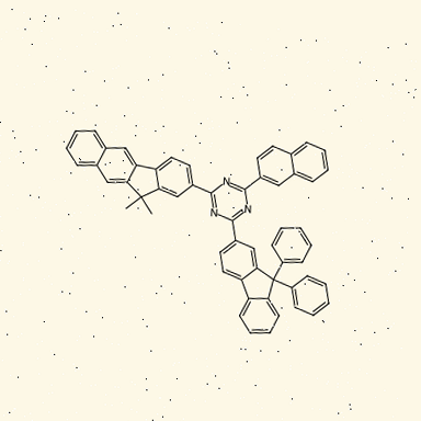 CC1(C)c2cc(-c3nc(-c4ccc5c(c4)C(c4ccccc4)(c4ccccc4)c4ccccc4-5)nc(-c4ccc5ccccc5c4)n3)ccc2-c2cc3ccccc3cc21